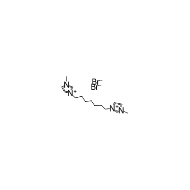 Cn1cc[n+](CCCCCCC[n+]2ccn(C)c2)c1.[Br-].[Br-]